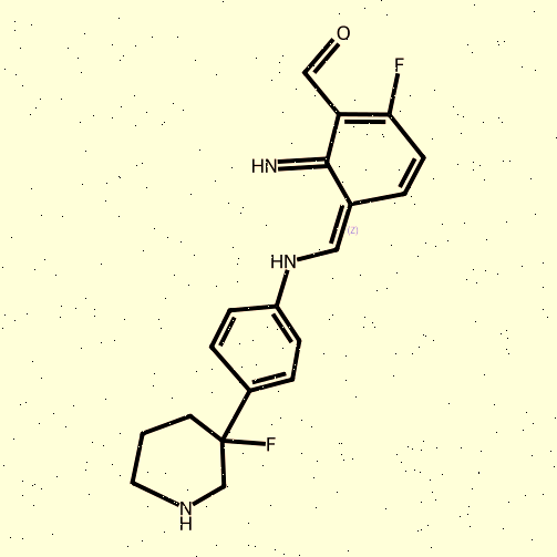 N=C1C(C=O)=C(F)C=C/C1=C/Nc1ccc(C2(F)CCCNC2)cc1